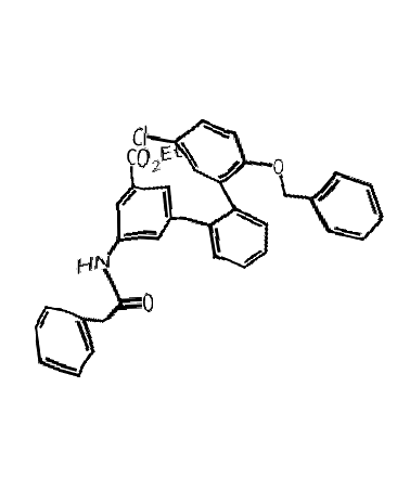 CCOC(=O)c1cc(NC(=O)c2ccccc2)cc(-c2ccccc2-c2cc(Cl)ccc2OCc2ccccc2)c1